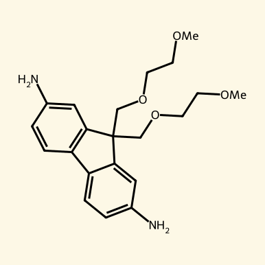 COCCOCC1(COCCOC)c2cc(N)ccc2-c2ccc(N)cc21